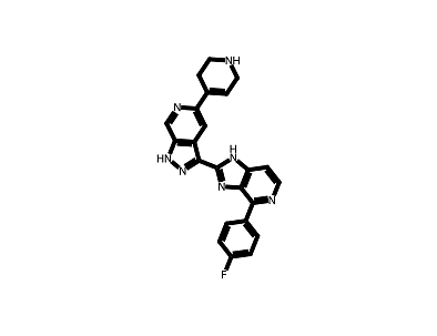 Fc1ccc(-c2nccc3[nH]c(-c4n[nH]c5cnc(C6=CCNCC6)cc45)nc23)cc1